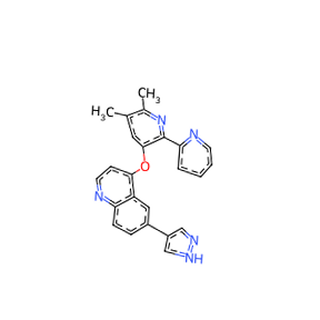 Cc1cc(Oc2ccnc3ccc(-c4cn[nH]c4)cc23)c(-c2ccccn2)nc1C